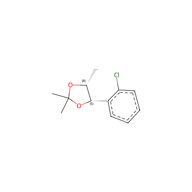 [CH2][C@H]1OC(C)(C)O[C@H]1c1ccccc1Cl